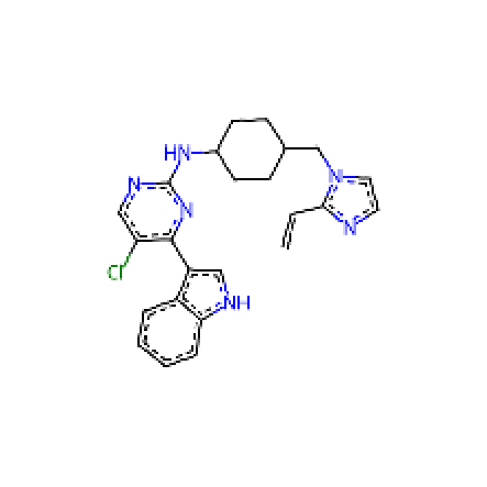 C=Cc1nccn1CC1CCC(Nc2ncc(Cl)c(-c3c[nH]c4ccccc34)n2)CC1